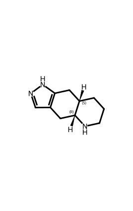 c1n[nH]c2c1C[C@H]1NCCC[C@H]1C2